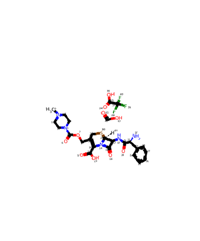 CN1CCN(C(=O)OCC2=C(C(=O)O)N3C(=O)C(NC(=O)[C@@H](N)c4ccccc4)[C@@H]3SC2)CC1.O=C(O)C(F)(F)F.O=CO